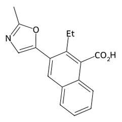 CCc1c(-c2cnc(C)o2)cc2ccccc2c1C(=O)O